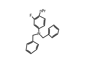 CCCc1ccc(N(Cc2ccccc2)Cc2ccccc2)cc1F